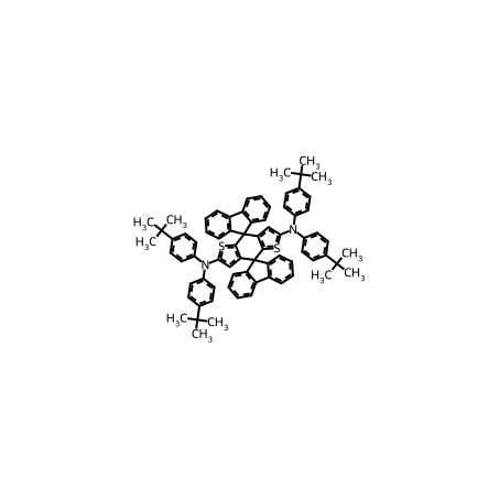 CC(C)(C)c1ccc(N(c2ccc(C(C)(C)C)cc2)c2cc3c(s2)C2(c4ccccc4-c4ccccc42)c2cc(N(c4ccc(C(C)(C)C)cc4)c4ccc(C(C)(C)C)cc4)sc2C32c3ccccc3-c3ccccc32)cc1